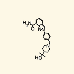 CC(C)(O)C1CCN(Cc2ccc(-n3cc4cccc(C(N)=O)c4n3)cc2)CC1